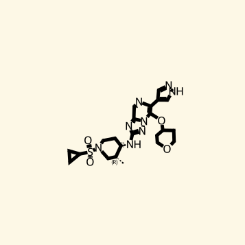 C[C@@H]1CN(S(=O)(=O)C2CC2)CC[C@@H]1Nc1nc2cnc(-c3cn[nH]c3)c(OC3CCOCC3)n2n1